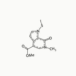 COC(=O)c1cn(C)c(=O)c2c1ccn2SI